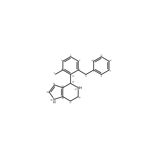 Cc1cccc(Cc2ccccc2)c1C1NCCc2[nH]ccc21